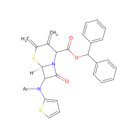 C=C1S[C@@H]2C(N(C(C)=O)c3cccs3)C(=O)N2C(C(=O)OC(c2ccccc2)c2ccccc2)C1=C